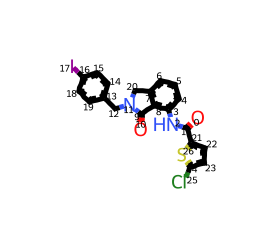 O=C(Nc1cccc2c1C(=O)N(Cc1ccc(I)cc1)C2)c1ccc(Cl)s1